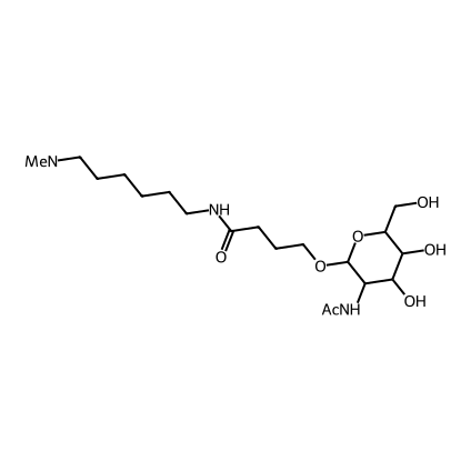 CNCCCCCCNC(=O)CCCOC1OC(CO)C(O)C(O)C1NC(C)=O